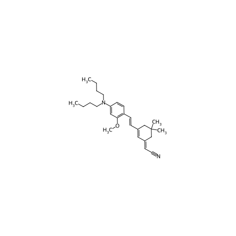 CCCCN(CCCC)c1ccc(/C=C/C2=CC(=C/C#N)/CC(C)(C)C2)c(OC)c1